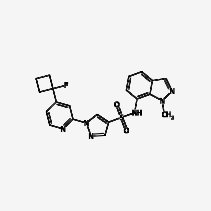 Cn1ncc2cccc(NS(=O)(=O)c3cnn(-c4cc(C5(F)CCC5)ccn4)c3)c21